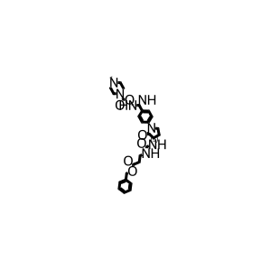 CN1CCN(C(=O)ONC(=N)c2ccc(N3CC[C@H](NC(=O)NCCC(=O)OCc4ccccc4)C3=O)cc2)CC1